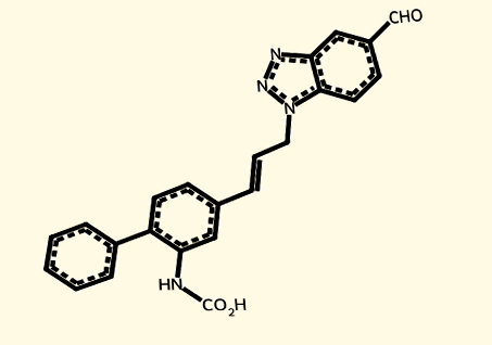 O=Cc1ccc2c(c1)nnn2CC=Cc1ccc(-c2ccccc2)c(NC(=O)O)c1